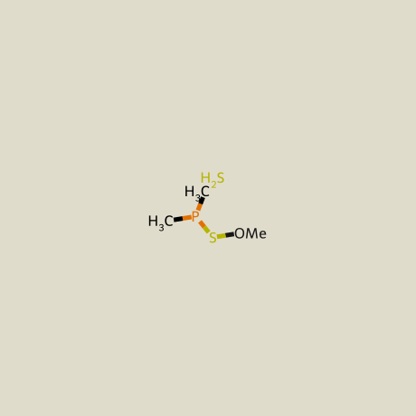 COSP(C)C.S